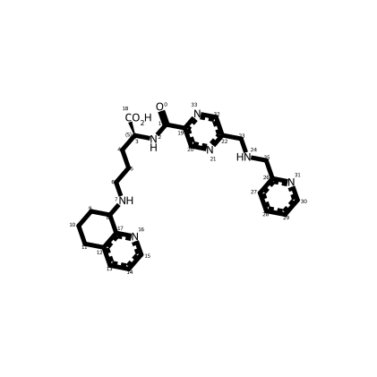 O=C(N[C@@H](CCCNC1CCCc2cccnc21)C(=O)O)c1cnc(CNCc2ccccn2)cn1